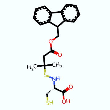 CC(C)(CC(=O)OCC1c2ccccc2-c2ccccc21)SN[C@@H](CS)C(=O)O